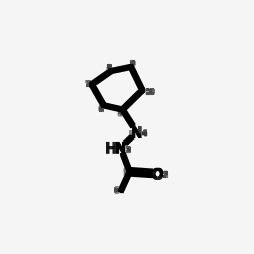 CC(=O)N[N]C1CCCCC1